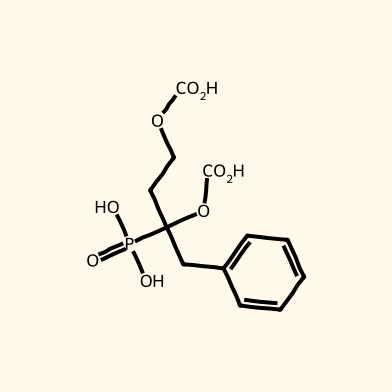 O=C(O)OCCC(Cc1ccccc1)(OC(=O)O)P(=O)(O)O